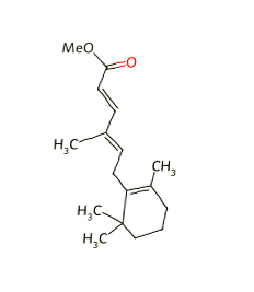 COC(=O)/C=C/C(C)=C/CC1=C(C)CCCC1(C)C